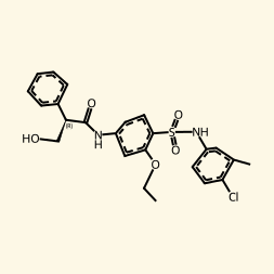 CCOc1cc(NC(=O)[C@@H](CO)c2ccccc2)ccc1S(=O)(=O)Nc1ccc(Cl)c(C)c1